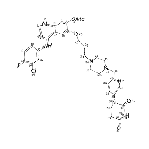 COc1cc2ncnc(Nc3ccc(F)c(Cl)c3)c2cc1OCCCN1CCN(Cc2ccc(N3CCC(=O)NC3=O)cn2)CC1